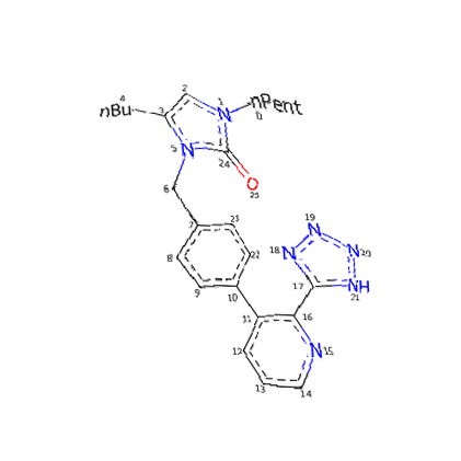 CCCCCn1cc(CCCC)n(Cc2ccc(-c3cccnc3-c3nnn[nH]3)cc2)c1=O